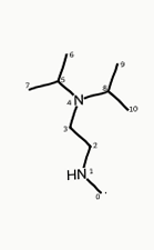 [CH2]NCCN(C(C)C)C(C)C